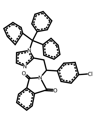 O=C1c2ccccc2C(=O)N1C(Cc1nccn1C(c1ccccc1)(c1ccccc1)c1ccccc1)c1ccc(Cl)cc1